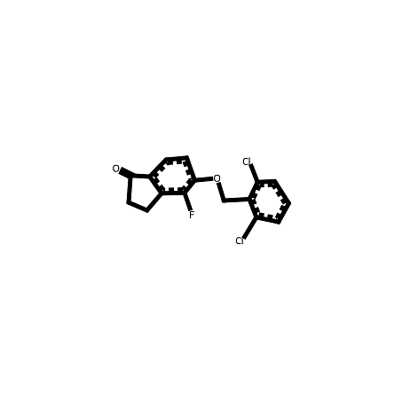 O=C1CCc2c1ccc(OCc1c(Cl)cccc1Cl)c2F